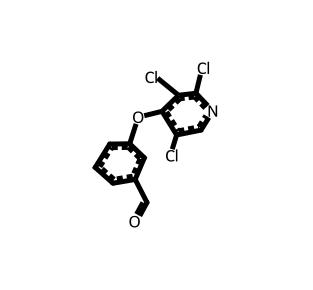 O=Cc1cccc(Oc2c(Cl)cnc(Cl)c2Cl)c1